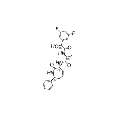 C[C@H](NC(=O)[C@@H](O)c1cc(F)cc(F)c1)C(=O)N[C@H]1C=CC[C@@H](c2ccccc2)NC1=O